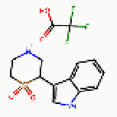 O=C(O)C(F)(F)F.O=S1(=O)CCNCC1c1c[nH]c2ccccc12